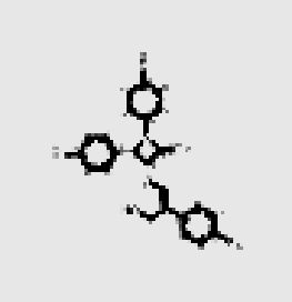 O=C1[C@H](CC=C(CO)c2ccc(F)cc2)[C@@H](c2ccc(O)cc2)N1c1ccc(F)cc1